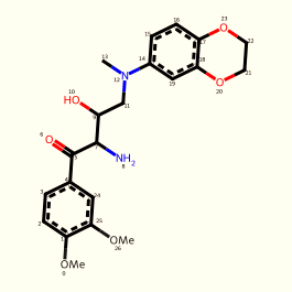 COc1ccc(C(=O)C(N)C(O)CN(C)c2ccc3c(c2)OCCO3)cc1OC